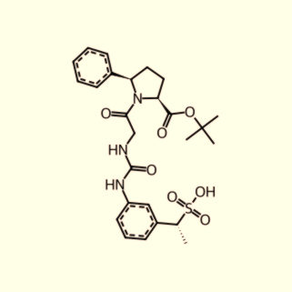 C[C@H](c1cccc(NC(=O)NCC(=O)N2[C@@H](c3ccccc3)CC[C@H]2C(=O)OC(C)(C)C)c1)S(=O)(=O)O